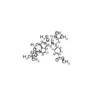 COC(=O)c1ccc(C2CC(C)N(C)CCN2Cc2c(OC)cc(C)c3c2ccn3C(=O)OC(C)(C)C)cc1